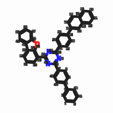 c1ccc(-c2ccc(-c3nc(-c4ccc(-c5ccc6ccccc6c5)cc4)nc(-c4cccc5c4oc4ccccc45)n3)cc2)cc1